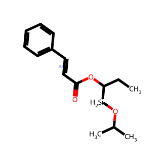 CCC(OC(=O)/C=C/c1ccccc1)[SiH2]OC(C)C